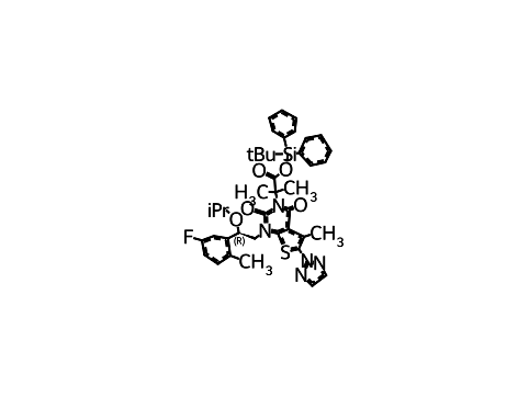 Cc1ccc(F)cc1[C@H](Cn1c(=O)n(C(C)(C)C(=O)O[Si](c2ccccc2)(c2ccccc2)C(C)(C)C)c(=O)c2c(C)c(-n3nccn3)sc21)OC(C)C